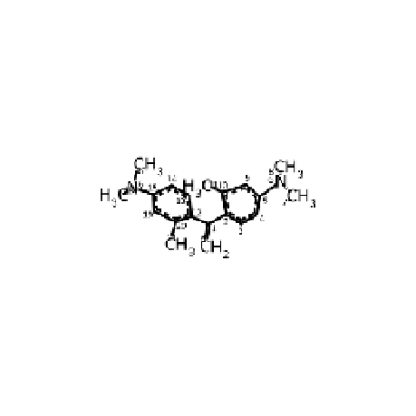 C=C(c1ccc(N(C)C)cc1C)c1ccc(N(C)C)cc1C